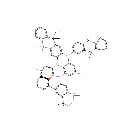 Cc1cc2c3c(c1)N(c1cc4c(cc1-c1ccccc1)C(C)(C)CCC4(C)C)c1ccc(C(C)(C)C)cc1B3c1cc3c(cc1N2c1ccc2c(c1)C(C)(C)c1ccccc1C2(C)C)C(C)(C)c1ccccc1C3(C)C